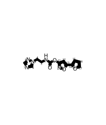 O=C(NCCn1cncn1)Oc1cc(-c2ccco2)on1